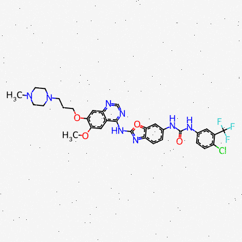 COc1cc2c(Nc3nc4ccc(NC(=O)Nc5ccc(Cl)c(C(F)(F)F)c5)cc4o3)ncnc2cc1OCCCN1CCN(C)CC1